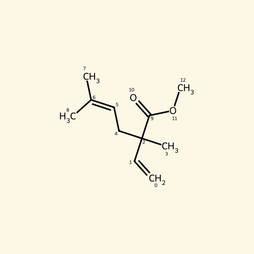 C=CC(C)(CC=C(C)C)C(=O)OC